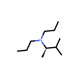 CCCN(CCC)[C@H](C)C(C)C